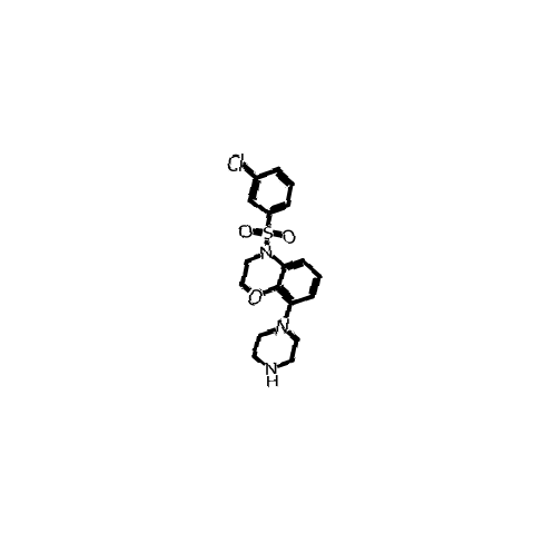 O=S(=O)(c1cccc(Cl)c1)N1CCOc2c(N3CCNCC3)cccc21